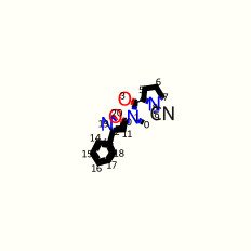 CN(C(=O)[C@@H]1CCCN1C#N)c1cc(-c2ccccc2)no1